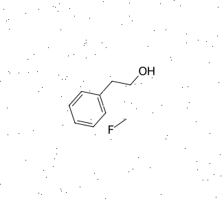 CF.OCCc1ccccc1